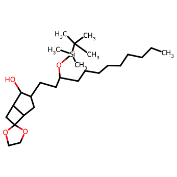 CCCCCCCCCC(CCC1CC2C(CC23OCCO3)C1O)O[Si](C)(C)C(C)(C)C